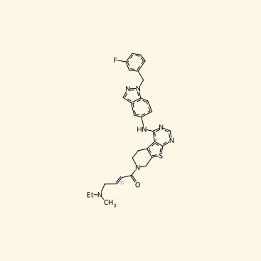 CCN(C)C/C=C/C(=O)N1CCc2c(sc3ncnc(Nc4ccc5c(cnn5Cc5cccc(F)c5)c4)c23)C1